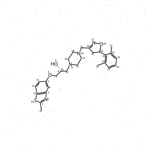 Cc1nc2cc(OC[C@H](O)CN3CCN(CC4=NOC(c5c(C)cccc5C)C4)CC3)ccc2s1